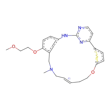 COCCOc1ccc2cc1CN(C)C/C=C/CCOc1ccc(s1)-c1ccnc(n1)N2